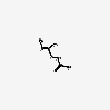 N/C(CNC(=O)O)=N\O